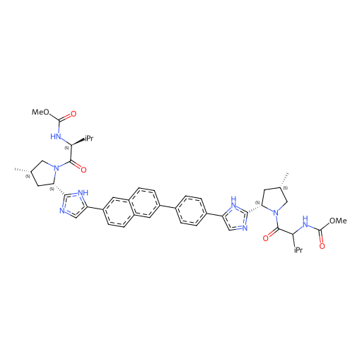 COC(=O)NC(C(=O)N1C[C@@H](C)C[C@H]1c1ncc(-c2ccc(-c3ccc4cc(-c5cnc([C@@H]6C[C@H](C)CN6C(=O)[C@@H](NC(=O)OC)C(C)C)[nH]5)ccc4c3)cc2)[nH]1)C(C)C